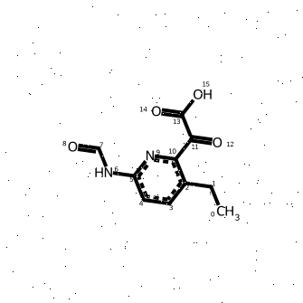 CCc1ccc(NC=O)nc1C(=O)C(=O)O